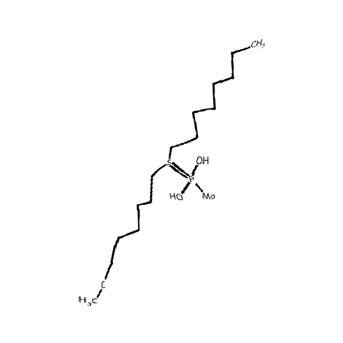 CCCCCCCCS(CCCCCCCC)=[P](O)(O)[Mo]